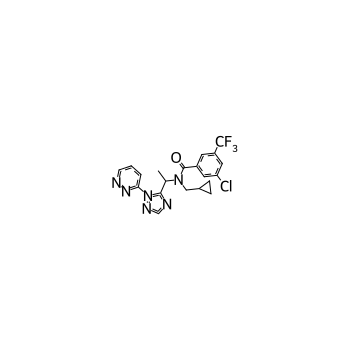 CC(c1ncnn1-c1cccnn1)N(CC1CC1)C(=O)c1cc(Cl)cc(C(F)(F)F)c1